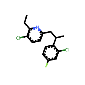 CCc1nc(CC(C)c2ccc(F)cc2Cl)ccc1Cl